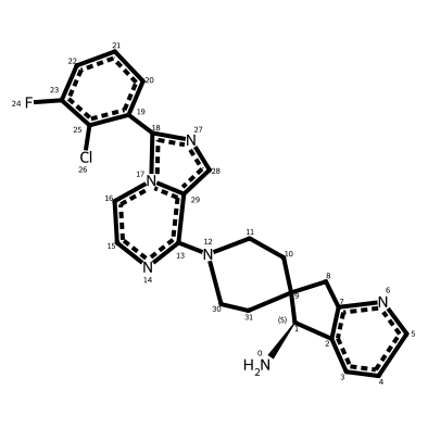 N[C@@H]1c2cccnc2CC12CCN(c1nccn3c(-c4cccc(F)c4Cl)ncc13)CC2